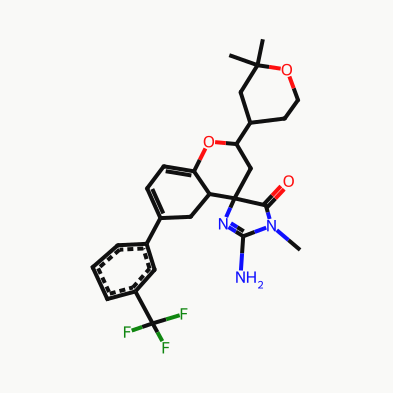 CN1C(=O)C2(CC(C3CCOC(C)(C)C3)OC3=CC=C(c4cccc(C(F)(F)F)c4)CC32)N=C1N